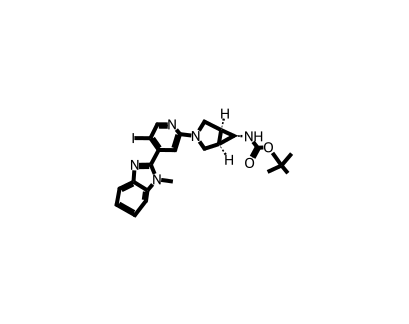 Cn1c(-c2cc(N3C[C@@H]4[C@H](C3)[C@H]4NC(=O)OC(C)(C)C)ncc2I)nc2ccccc21